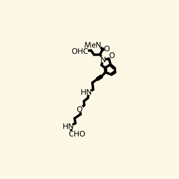 CNC(=O)C(CCC=O)N1Cc2c(C#CCCNCCCOCCCNC=O)cccc2C1=O